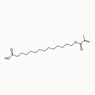 C=C(C)C(=O)OCCCCCCCCCCCCCC(=O)O